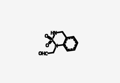 O=CCN1c2ccccc2CNS1(=O)=O